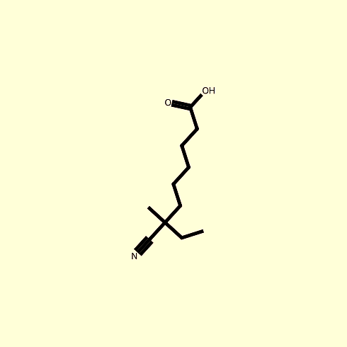 CCC(C)(C#N)CCCCCC(=O)O